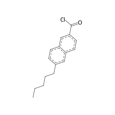 CCCCCc1ccc2cc(C(=O)Cl)ccc2c1